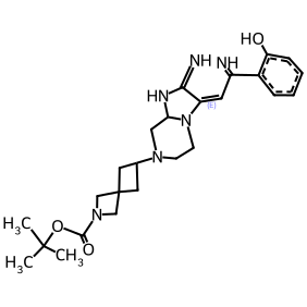 CC(C)(C)OC(=O)N1CC2(CC(N3CCN4/C(=C/C(=N)c5ccccc5O)C(=N)NC4C3)C2)C1